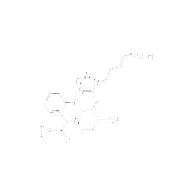 O=C(O)CCCCn1nnnc1/C=C1\CN(C(C(=O)C2CC2)c2ccccc2F)CCC1S